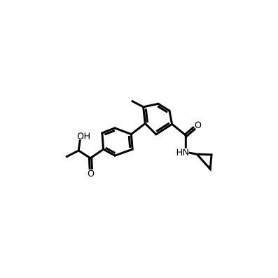 Cc1ccc(C(=O)NC2CC2)cc1-c1ccc(C(=O)C(C)O)cc1